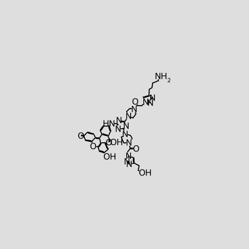 NCCCCc1cn(CC(=O)N2CCN(c3nc(Nc4ccc(-c5c6ccc(=O)cc-6oc6cc(O)ccc56)c(C(=O)O)c4)nc(N4CCN(C(=O)Cn5cc(CCO)nn5)CC4)n3)CC2)nn1